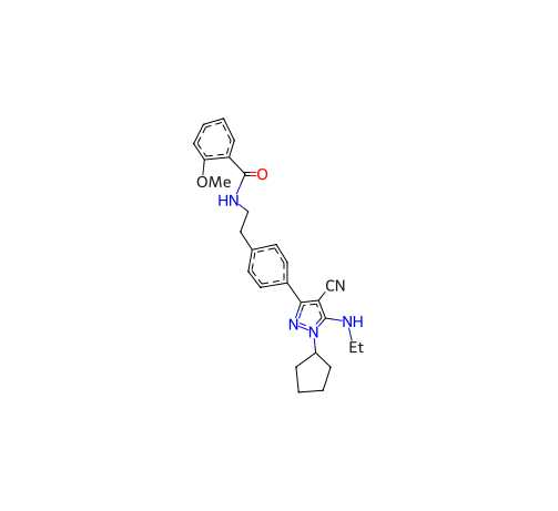 CCNc1c(C#N)c(-c2ccc(CCNC(=O)c3ccccc3OC)cc2)nn1C1CCCC1